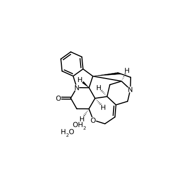 O.O.O=C1C[C@@H]2OCC=C3CN4CC[C@]56c7ccccc7N1[C@H]5[C@H]2[C@H]3C[C@H]46